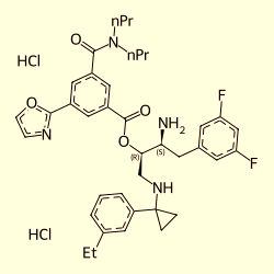 CCCN(CCC)C(=O)c1cc(C(=O)O[C@H](CNC2(c3cccc(CC)c3)CC2)[C@@H](N)Cc2cc(F)cc(F)c2)cc(-c2ncco2)c1.Cl.Cl